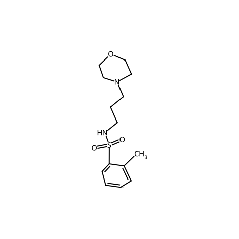 Cc1c[c]ccc1S(=O)(=O)NCCCN1CCOCC1